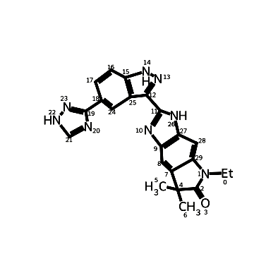 CCN1C(=O)C(C)(C)c2cc3nc(-c4n[nH]c5ccc(-c6nc[nH]n6)cc45)[nH]c3cc21